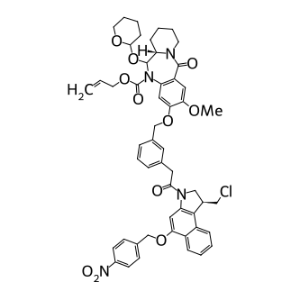 C=CCOC(=O)N1c2cc(OCc3cccc(CC(=O)N4C[C@@H](CCl)c5c4cc(OCc4ccc([N+](=O)[O-])cc4)c4ccccc54)c3)c(OC)cc2C(=O)N2CCCC[C@H]2C1OC1CCCCO1